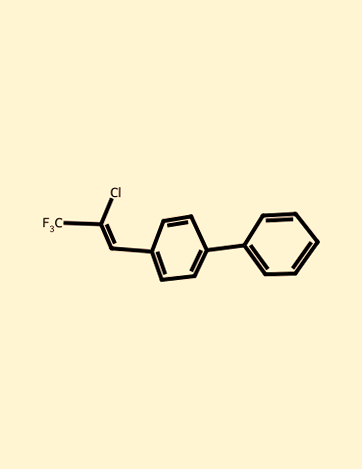 FC(F)(F)C(Cl)=Cc1ccc(-c2ccccc2)cc1